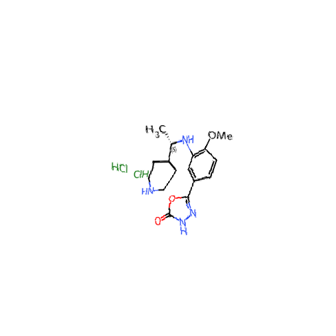 COc1ccc(-c2n[nH]c(=O)o2)cc1N[C@@H](C)C1CCNCC1.Cl.Cl